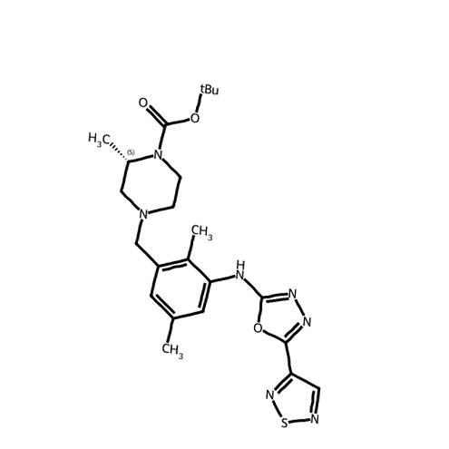 Cc1cc(CN2CCN(C(=O)OC(C)(C)C)[C@@H](C)C2)c(C)c(Nc2nnc(-c3cnsn3)o2)c1